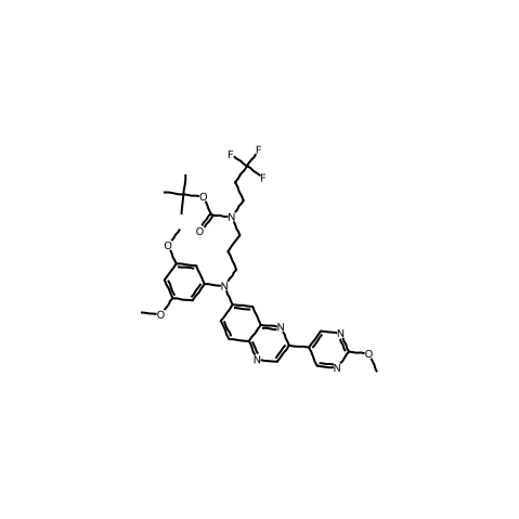 COc1cc(OC)cc(N(CCCN(CCC(F)(F)F)C(=O)OC(C)(C)C)c2ccc3ncc(-c4cnc(OC)nc4)nc3c2)c1